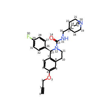 C#CCOc1ccc2c(c1)CCN(C(=O)NCC13CCN(CC1)CC3)[C@@H]2c1ccc(F)cc1